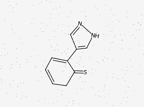 S=C1CC=CC=C1c1[c]n[nH]c1